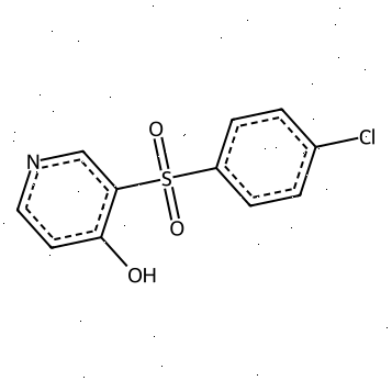 O=S(=O)(c1ccc(Cl)cc1)c1cnccc1O